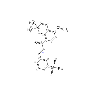 COc1ccc(C(=O)/C=C/c2cccc(C(F)(F)F)c2)c2c1C=CC(C)(C)O2